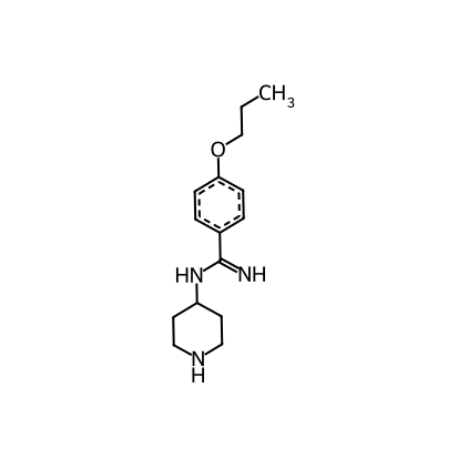 CCCOc1ccc(C(=N)NC2CCNCC2)cc1